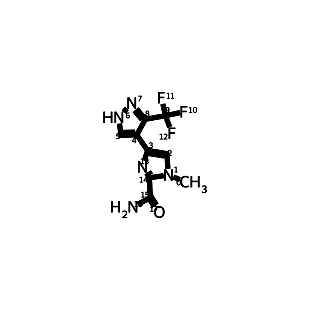 Cn1cc(-c2c[nH]nc2C(F)(F)F)nc1C(N)=O